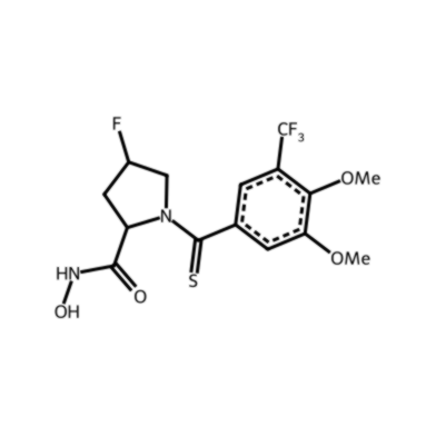 COc1cc(C(=S)N2CC(F)CC2C(=O)NO)cc(C(F)(F)F)c1OC